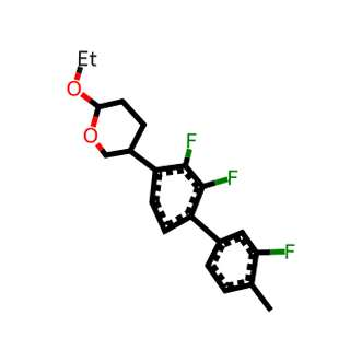 CCOC1CCC(c2ccc(-c3ccc(C)c(F)c3)c(F)c2F)CO1